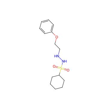 O=S(=O)(NNCCOc1ccccc1)C1CCCCC1